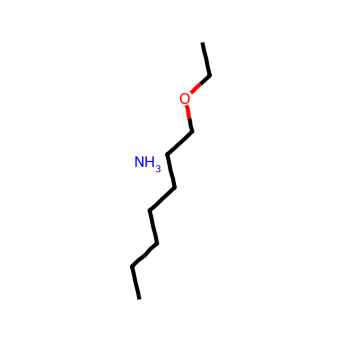 CCCCCCCOCC.N